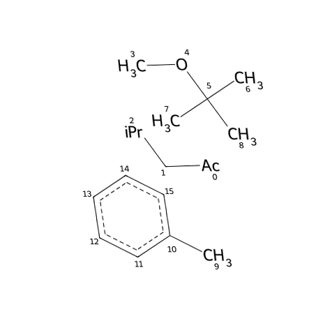 CC(=O)CC(C)C.COC(C)(C)C.Cc1ccccc1